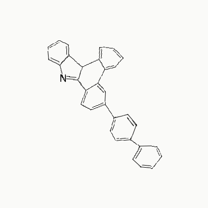 c1ccc(-c2ccc(-c3ccc4c(c3)-c3ccccc3C3C4=Nc4ccccc43)cc2)cc1